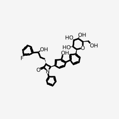 O=C1[C@H](CC[C@H](O)c2cccc(F)c2)[C@@H](c2ccc(-c3cccc([C@@H]4O[C@H](CO)[C@@H](O)[C@H](O)[C@H]4O)c3)c(O)c2)N1c1ccccc1